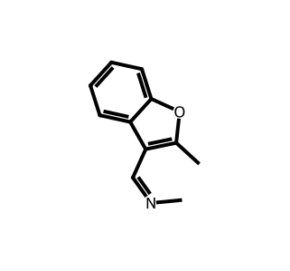 C/N=C\c1c(C)oc2ccccc12